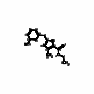 CCOC(=O)c1sc(Cc2cccc(Br)c2)nc1C